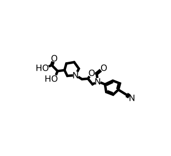 N#Cc1ccc(N2CC(CN3CCCC(C(O)C(=O)O)C3)OC2=O)cc1